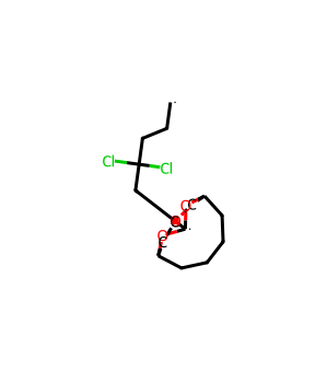 [CH2]CCC(Cl)(Cl)C[C]1OC2CCCCC(COCC2)O1